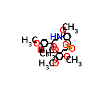 COc1cc(OC)c(C=CS(=O)(=O)Cc2ccc(OC)c(NC=CC(=O)c3ccc(OC)c(OC)c3)c2)c(OC)c1